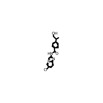 CC(CO)c1ccc(C(=O)Nc2cn3cc(Cl)ccc3n2)cc1